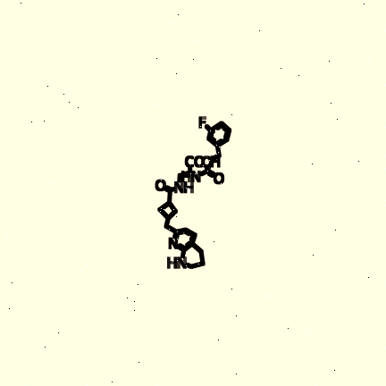 O=C(NC(CNC(=O)C1CC(Cc2ccc3c(n2)NCCC3)C1)C(=O)O)OCc1cccc(F)c1